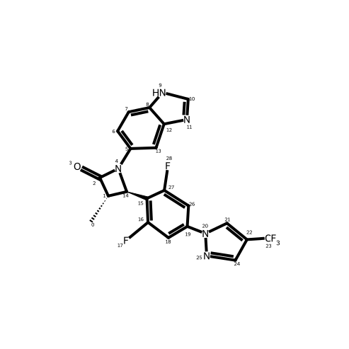 C[C@@H]1C(=O)N(c2ccc3[nH]cnc3c2)[C@H]1c1c(F)cc(-n2cc(C(F)(F)F)cn2)cc1F